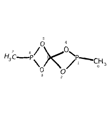 CP1OC2(O1)OP(C)O2